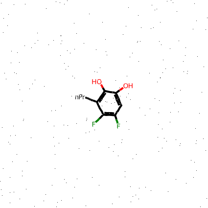 CCCc1c(O)c(O)cc(F)c1F